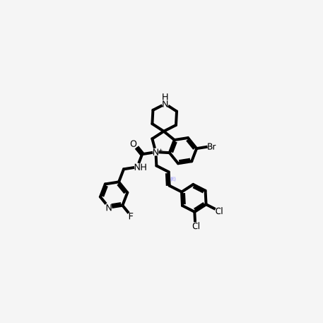 O=C(NCc1ccnc(F)c1)[N+]1(C/C=C/c2ccc(Cl)c(Cl)c2)CC2(CCNCC2)c2cc(Br)ccc21